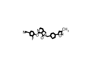 Cc1cc(-c2ccc(CN3Cc4ccnc(Oc5ccc(C#N)cc5F)c4C3=O)cc2)on1